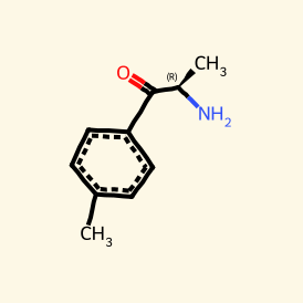 Cc1ccc(C(=O)[C@@H](C)N)cc1